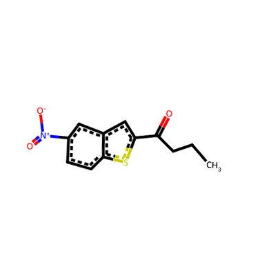 CCCC(=O)c1cc2cc([N+](=O)[O-])ccc2s1